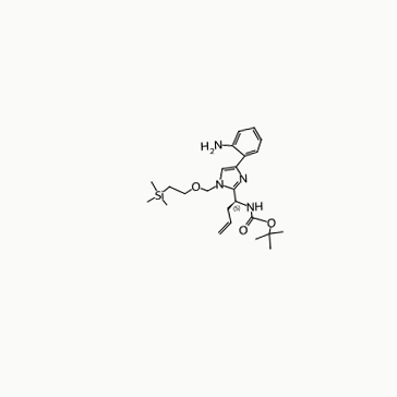 C=CC[C@H](NC(=O)OC(C)(C)C)c1nc(-c2ccccc2N)cn1COCC[Si](C)(C)C